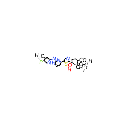 Cc1cc(Nc2cccc(-c3cnc(C4(O)CCC(C(=O)O)C(C)(C)C4)s3)n2)ncc1F